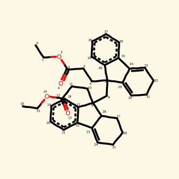 CCOC(=O)CCC1(CC2(CCC(=O)OCC)c3ccccc3C3=CCCCC32)C2=CCCC=C2c2ccccc21